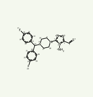 Nn1c(C=S)nnc1N1CCN(C(c2ccc(F)cc2)c2ccc(F)cc2)CC1